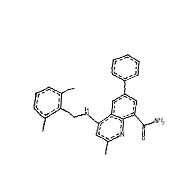 Cc1cc(NCc2c(C)cccc2C)c2cc(-c3ccccc3)cc(C(N)=O)c2n1